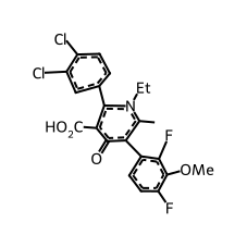 CCn1c(C)c(-c2ccc(F)c(OC)c2F)c(=O)c(C(=O)O)c1-c1ccc(Cl)c(Cl)c1